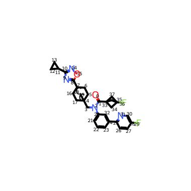 O=C(N(CC12CCC(c3nc(C4CC4)no3)(CC1)CC2)c1cccc(-c2ccc(F)cn2)c1)C12CC(F)(C1)C2